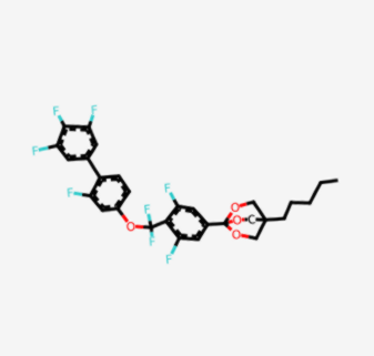 CCCCCC12COC(c3cc(F)c(C(F)(F)Oc4ccc(-c5cc(F)c(F)c(F)c5)c(F)c4)c(F)c3)(OC1)OC2